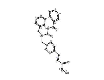 O=C(/C=C/c1ccc(CN(Cc2ccccc2)C(=O)NC(=O)c2ccccc2)cc1)NO